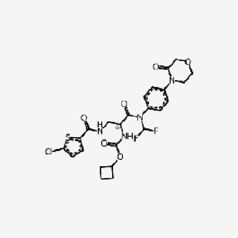 O=C(N[C@@H](CNC(=O)c1ccc(Cl)s1)C(=O)N(c1ccc(N2CCOCC2=O)cc1)C(F)F)OC1CCC1